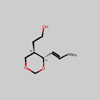 CCCCCCC=C[C@@H]1OCOC[C@H]1CCO